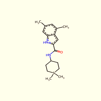 Cc1cc(C)c2cc(C(=O)NC3CC[Si](C)(C)CC3)[nH]c2c1